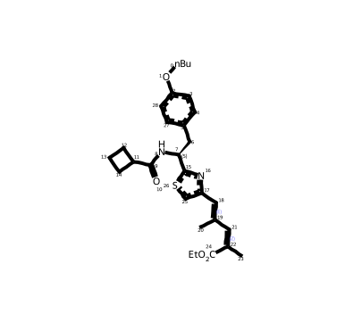 CCCCOc1ccc(C[C@H](NC(=O)C2CCC2)c2nc(/C=C(C)/C=C(/C)C(=O)OCC)cs2)cc1